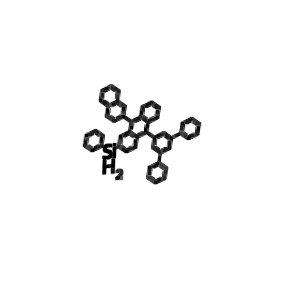 c1ccc([SiH2]c2ccc3c(-c4cc(-c5ccccc5)cc(-c5ccccc5)c4)c4ccccc4c(-c4ccc5ccccc5c4)c3c2)cc1